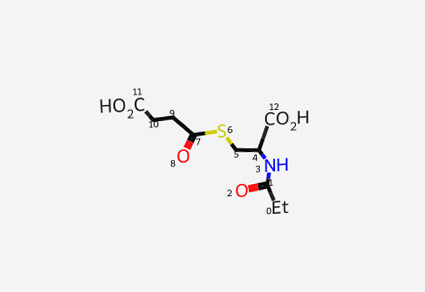 CCC(=O)NC(CSC(=O)CCC(=O)O)C(=O)O